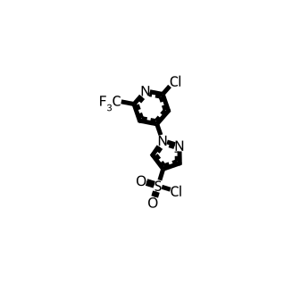 O=S(=O)(Cl)c1cnn(-c2cc(Cl)nc(C(F)(F)F)c2)c1